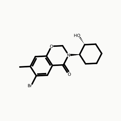 Cc1cc2c(cc1Br)C(=O)N([C@@H]1CCCC[C@H]1O)CO2